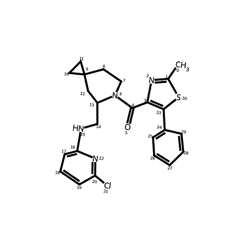 Cc1nc(C(=O)N2CCC3(CC3)CC2CNc2cccc(Cl)n2)c(-c2ccccc2)s1